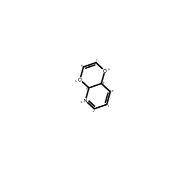 [C]1=CC=NC2OC=COC12